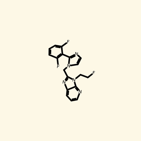 FCCn1c(Cn2ccnc2-c2c(F)cccc2F)nc2cccnc21